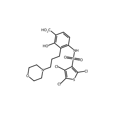 O=C(O)c1ccc(NS(=O)(=O)c2c(Cl)sc(Cl)c2Cl)c(CCCN2CCOCC2)c1O